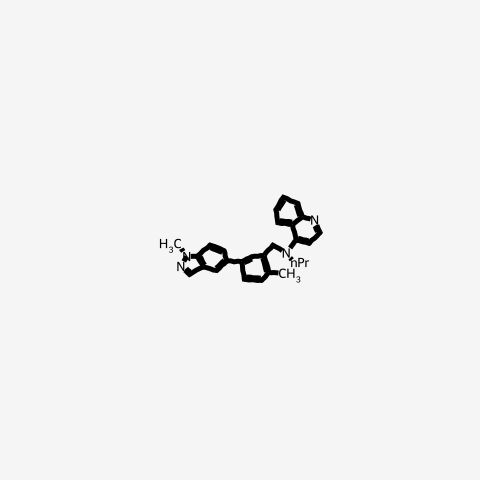 CCCN(Cc1cc(-c2ccc3c(cnn3C)c2)ccc1C)c1ccnc2ccccc12